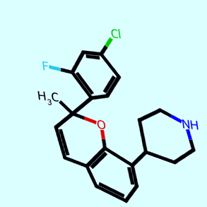 CC1(c2ccc(Cl)cc2F)C=Cc2cccc(C3CCNCC3)c2O1